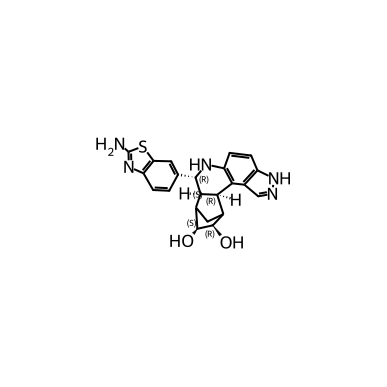 Nc1nc2ccc([C@@H]3Nc4ccc5[nH]ncc5c4[C@H]4C5CC([C@@H]34)[C@H](O)[C@@H]5O)cc2s1